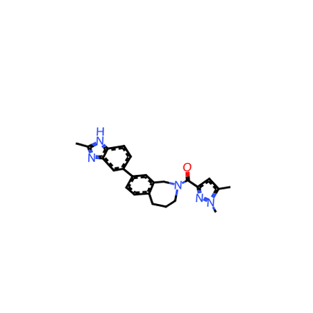 Cc1nc2cc(-c3ccc4c(c3)CN(C(=O)c3cc(C)n(C)n3)CCC4)ccc2[nH]1